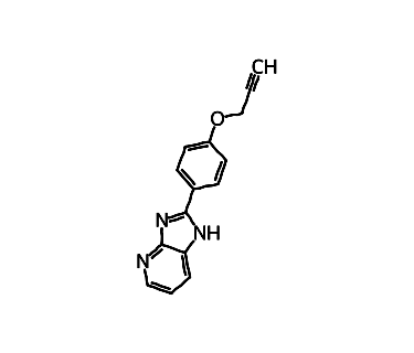 C#CCOc1ccc(-c2nc3ncccc3[nH]2)cc1